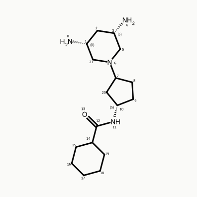 N[C@@H]1C[C@H](N)CN(C2CC[C@H](NC(=O)C3CCCCC3)C2)C1